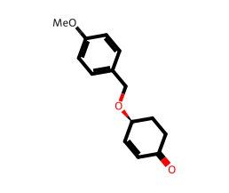 COc1ccc(CO[C@@H]2C=CC(=O)CC2)cc1